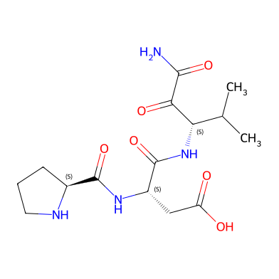 CC(C)[C@H](NC(=O)[C@H](CC(=O)O)NC(=O)[C@@H]1CCCN1)C(=O)C(N)=O